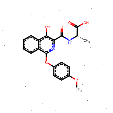 COc1ccc(Oc2nc(C(=O)N[C@@H](C)C(=O)O)c(O)c3ccccc23)cc1